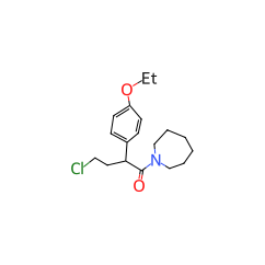 CCOc1ccc(C(CCCl)C(=O)N2CCCCCC2)cc1